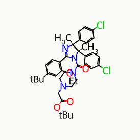 CCOc1cc(C(C)(C)C)ccc1C1=N[C@@](C)(c2ccc(Cl)cc2)[C@@](C)(c2ccc(Cl)cc2)N1C(=O)N1CCN(CC(=O)OC(C)(C)C)CC1